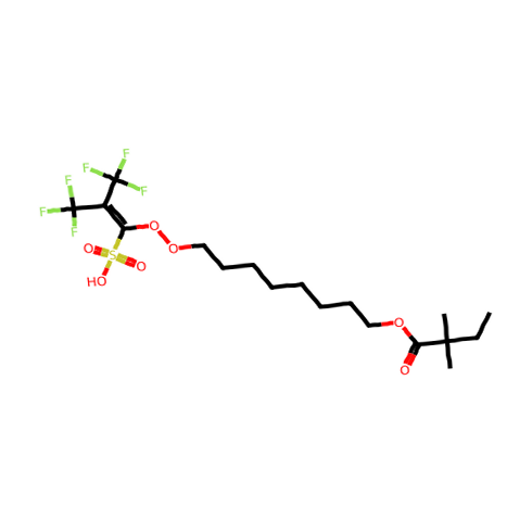 CCC(C)(C)C(=O)OCCCCCCCCOOC(=C(C(F)(F)F)C(F)(F)F)S(=O)(=O)O